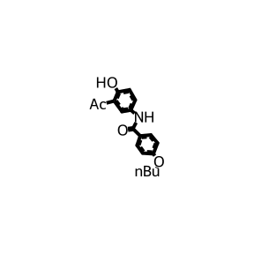 CCCCOc1ccc(C(=O)Nc2ccc(O)c(C(C)=O)c2)cc1